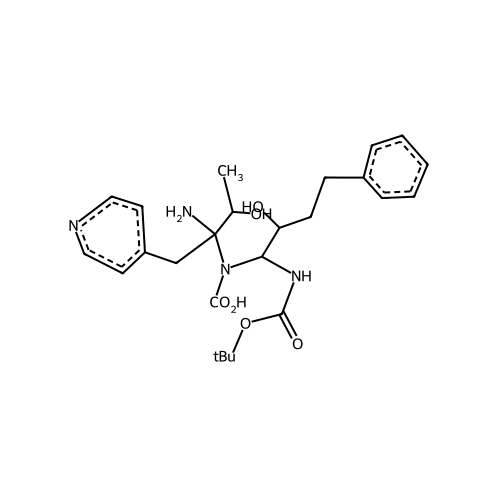 CC(O)C(N)(Cc1ccncc1)N(C(=O)O)C(NC(=O)OC(C)(C)C)C(O)CCc1ccccc1